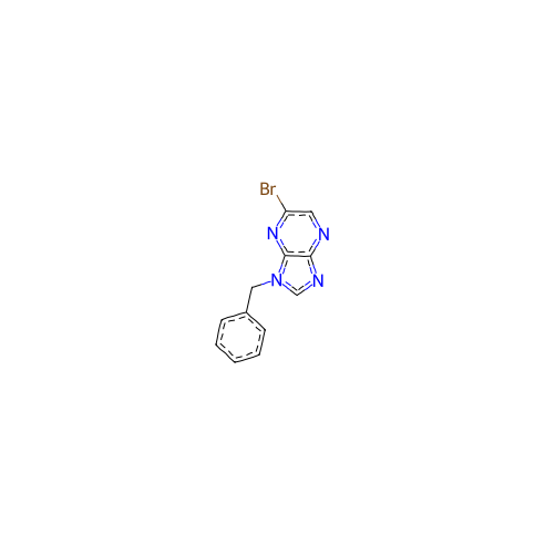 Brc1cnc2ncn(Cc3ccccc3)c2n1